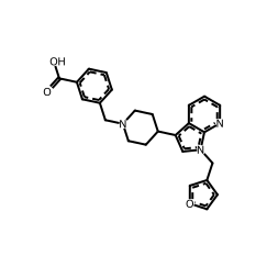 O=C(O)c1cccc(CN2CCC(c3cn(Cc4ccoc4)c4ncccc34)CC2)c1